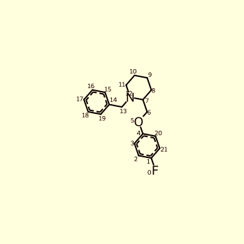 Fc1ccc(OCC2CCCCN2Cc2ccccc2)cc1